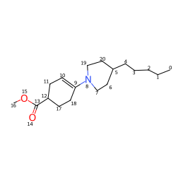 CCCCCC1CCN(C2=CCC(C(=O)OC)CC2)CC1